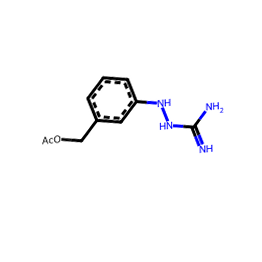 CC(=O)OCc1cccc(NNC(=N)N)c1